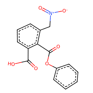 O=C(O)c1cccc(C[N+](=O)[O-])c1C(=O)Oc1ccccc1